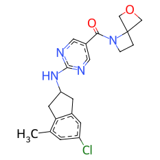 Cc1cc(Cl)cc2c1CC(Nc1ncc(C(=O)N3CCC34COC4)cn1)C2